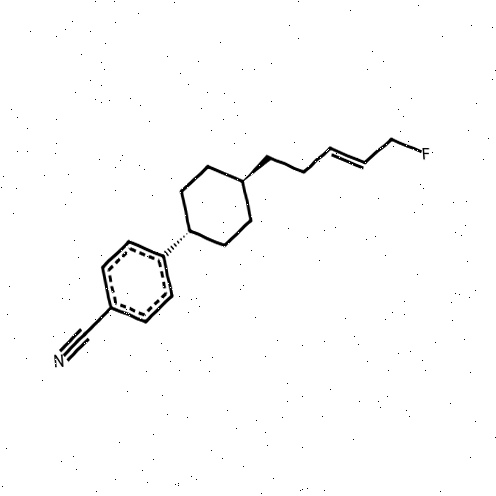 N#Cc1ccc([C@H]2CC[C@H](CCC=CCF)CC2)cc1